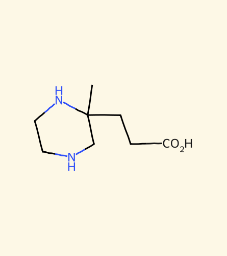 CC1(CCC(=O)O)CNCCN1